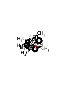 CCc1ccccc1[P](=S)(S)[Zr]([C]1=C(C)C(C)=C(C)C1(C)C)([P](=S)(S)c1ccccc1CC)[P](=S)(S)c1ccccc1CC